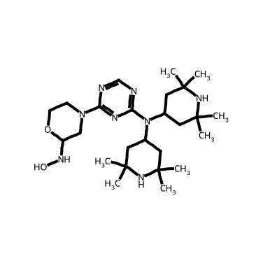 CC1(C)CC(N(c2ncnc(N3CCOC(NO)C3)n2)C2CC(C)(C)NC(C)(C)C2)CC(C)(C)N1